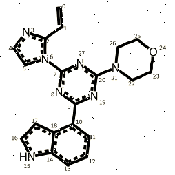 C=Cc1nccn1-c1nc(-c2cccc3[nH]ccc23)nc(N2CCOCC2)n1